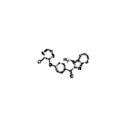 Cn1c(C(=O)c2ccc(Oc3nccnc3Cl)cc2)nc2ccccc21